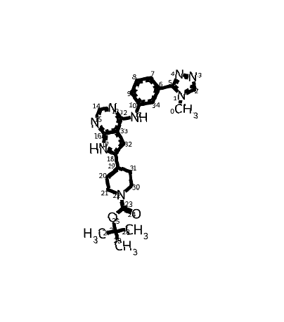 Cn1cnnc1-c1cccc(Nc2ncnc3[nH]c(C4=CCN(C(=O)OC(C)(C)C)CC4)cc23)c1